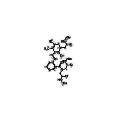 CCCCNC(CC)CN(CC(CC)NCCCC)C(=O)c1ccccc1/N=N/C1=C(O)N(CC(CC)NCCCC)CC(C#N)=C1C